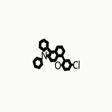 Clc1ccc2c(c1)-c1cccc3c1c(cc1c3c3ccccc3n1-c1ccccc1)O2